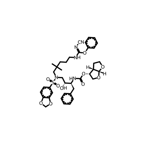 CC(C)(CCCN/C(=N/C#N)Oc1ccccc1)CN(C[C@@H](O)[C@H](Cc1ccccc1)NC(=O)O[C@H]1CO[C@H]2OCC[C@H]21)S(=O)(=O)c1ccc2c(c1)OCO2